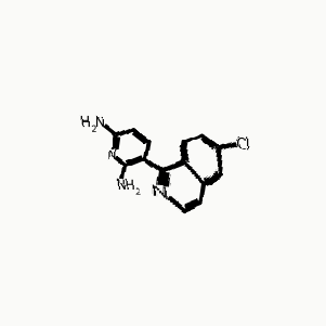 Nc1ccc(-c2nccc3cc(Cl)ccc23)c(N)n1